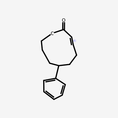 O=C1/C=C/CCC(c2ccccc2)CCCC1